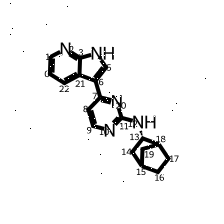 c1cnc2[nH]cc(-c3ccnc(N[C@H]4CC5CCC4C5)n3)c2c1